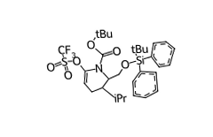 CC(C)C1CC=C(OS(=O)(=O)C(F)(F)F)N(C(=O)OC(C)(C)C)C1CO[Si](c1ccccc1)(c1ccccc1)C(C)(C)C